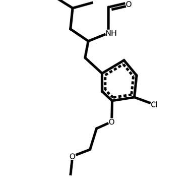 COCCOc1cc(CC(CC(C)C)NC=O)ccc1Cl